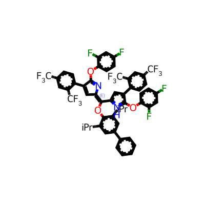 CC(C)c1cc(-c2ccccc2)cc(C(C)C)c1O/C(=C1\C=C(c2ccc(C(F)(F)F)cc2C(F)(F)F)C(Oc2ccc(F)cc2F)=N1)c1cc(-c2ccc(C(F)(F)F)cc2C(F)(F)F)c(Oc2ccc(F)cc2F)[nH]1